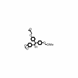 CCC(=C(c1ccc(OCOC)cc1)c1ccc(OCC2CO2)cc1)c1ccc2c(c1)OCO2